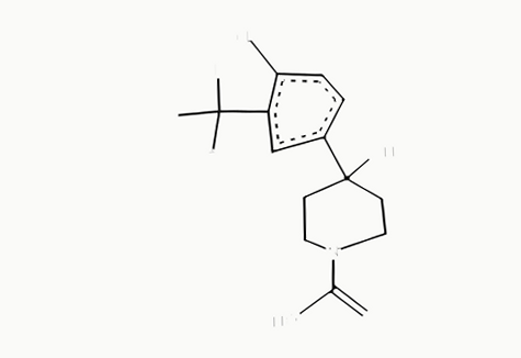 O=C(O)N1CCC(O)(c2ccc(Cl)c(C(F)(F)F)c2)CC1